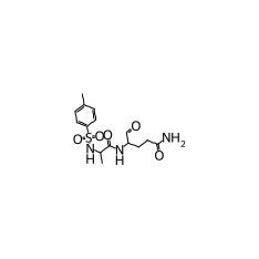 Cc1ccc(S(=O)(=O)NC(C)C(=O)NC(C=O)CCC(N)=O)cc1